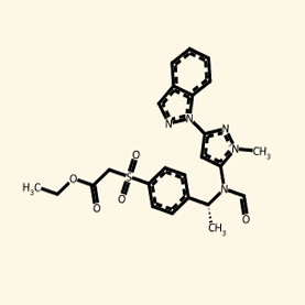 CCOC(=O)CS(=O)(=O)c1ccc([C@@H](C)N(C=O)c2cc(-n3ncc4ccccc43)nn2C)cc1